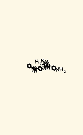 Cc1c(N)nn2cc([C@H]3CC[C@H](N)CC3)nc2c1Nc1ccc(-c2nnc(-c3ccccc3)o2)cc1